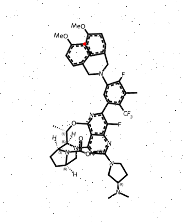 COc1ccc(CN(Cc2ccc(OC)cc2)c2cc(-c3nc4c5c(nc(N6CC[C@@H](N(C)C)C6)nc5c3F)N3C[C@H]5CC[C@@H]([C@H]3[C@H](C)O4)N5C(=O)OC(C)(C)C)c(C(F)(F)F)c(C)c2F)cc1